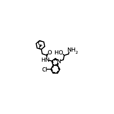 NCC(O)Cn1cc(NC(=O)CC23CCC(CC2)CC3)c2c(Cl)cccc21